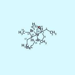 CC[PH](CC)(CC)[Ni]([Br])([Br])([CH]=O)[PH](CC)(CC)CC